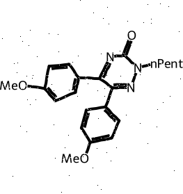 CCCCCn1nc(-c2ccc(OC)cc2)c(-c2ccc(OC)cc2)nc1=O